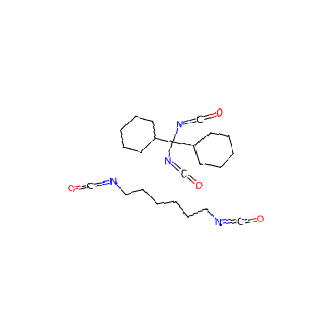 O=C=NC(N=C=O)(C1CCCCC1)C1CCCCC1.O=C=NCCCCCCN=C=O